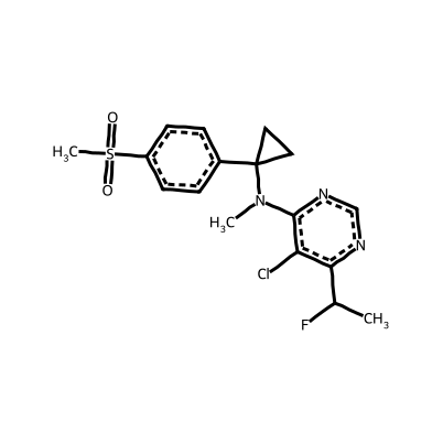 CC(F)c1ncnc(N(C)C2(c3ccc(S(C)(=O)=O)cc3)CC2)c1Cl